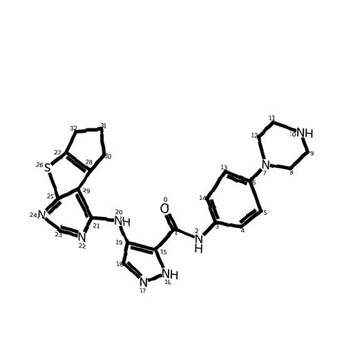 O=C(Nc1ccc(N2CCNCC2)cc1)c1[nH]ncc1Nc1ncnc2sc3c(c12)CCC3